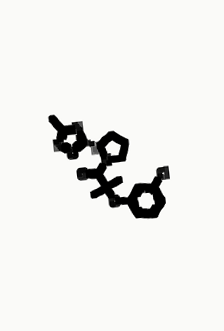 Cc1noc([C@@H]2CCCN2C(=O)C(C)(C)Oc2cccc(Cl)c2)n1